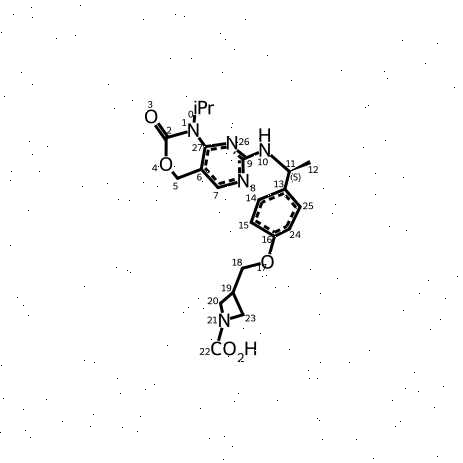 CC(C)N1C(=O)OCc2cnc(N[C@@H](C)c3ccc(OCC4CN(C(=O)O)C4)cc3)nc21